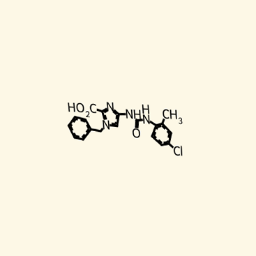 Cc1cc(Cl)ccc1NC(=O)Nc1cn(Cc2ccccc2)c(C(=O)O)n1